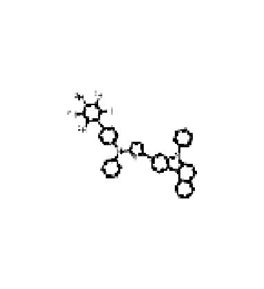 [2H]c1c([2H])c([2H])c(-c2ccc(N(c3ccccc3)c3ccc(-c4ccc5c6c7ccccc7ccc6n(-c6ccccc6)c5c4)s3)cc2)c([2H])c1[2H]